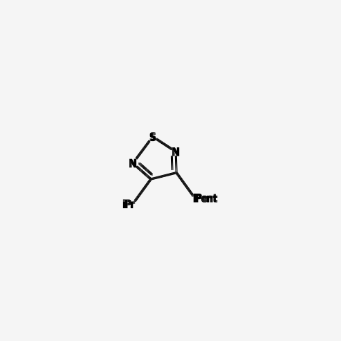 CCCC(C)c1nsnc1C(C)C